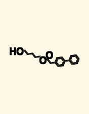 O=C(Cc1ccc(-c2ccccc2)cc1)OCCCCCO